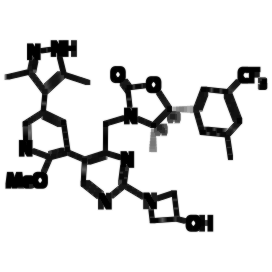 COc1ncc(-c2c(C)n[nH]c2C)cc1-c1cnc(N2CC(O)C2)nc1CN1C(=O)O[C@H](c2cc(C)cc(C(F)(F)F)c2)[C@@H]1C